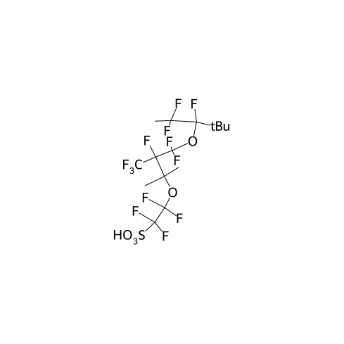 CC(C)(C)C(F)(OC(F)(F)C(F)(C(F)(F)F)C(C)(C)OC(F)(F)C(F)(F)S(=O)(=O)O)C(C)(F)F